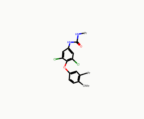 COc1ccc(Oc2c(Cl)cc(NC(=O)NC(C)C)cc2Cl)cc1C(C)C